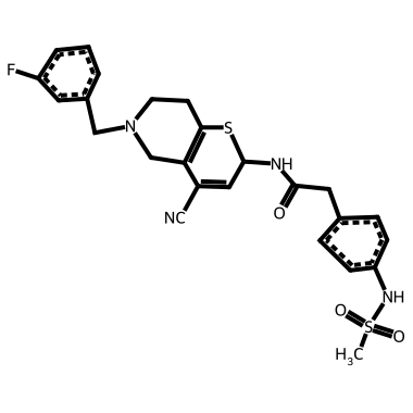 CS(=O)(=O)Nc1ccc(CC(=O)NC2C=C(C#N)C3=C(CCN(Cc4cccc(F)c4)C3)S2)cc1